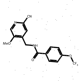 COc1cnc(C#N)cc1CNC(=O)c1ccc(OC(F)(F)F)cc1